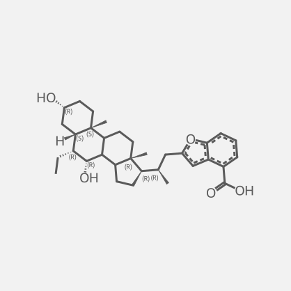 CC[C@H]1[C@@H](O)C2C3CC[C@H]([C@H](C)Cc4cc5c(C(=O)O)cccc5o4)[C@@]3(C)CCC2[C@@]2(C)CC[C@@H](O)C[C@@H]12